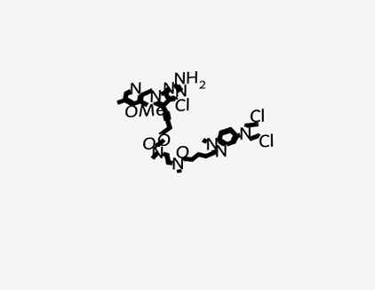 COc1c(C)cnc(Cn2cc(C#CCCOC(=O)N(C)CCN(C)C(=O)CCCc3nc4cc(N(CCCl)CCCl)ccc4n3C)c3c(Cl)nc(N)nc32)c1C